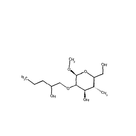 CCCC(O)COC1[C@@H](OC)OC(CO)[C@H](C)[C@H]1O